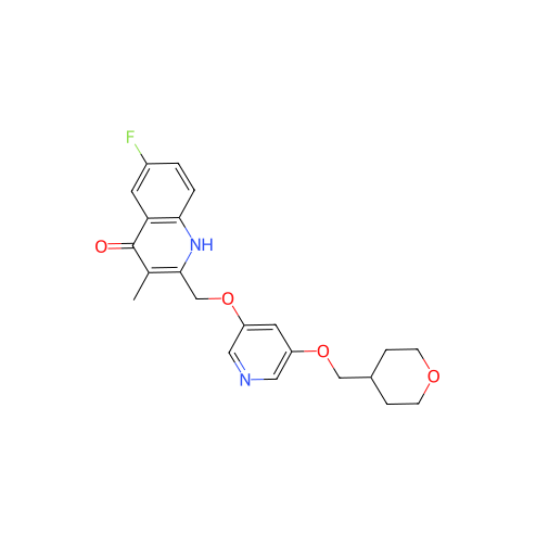 Cc1c(COc2cncc(OCC3CCOCC3)c2)[nH]c2ccc(F)cc2c1=O